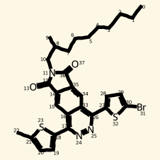 CCCCCCCCC(C)CN1C(=O)c2cc3c(-c4ccc(C)s4)nnc(-c4ccc(Br)s4)c3cc2C1=O